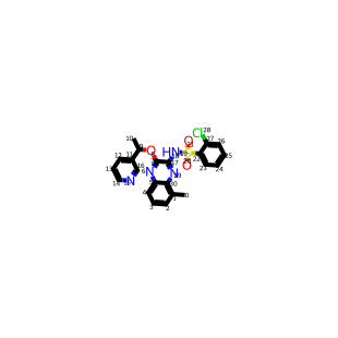 Cc1cccc2nc(OC(C)c3cccnc3)c(NS(=O)(=O)c3ccccc3Cl)nc12